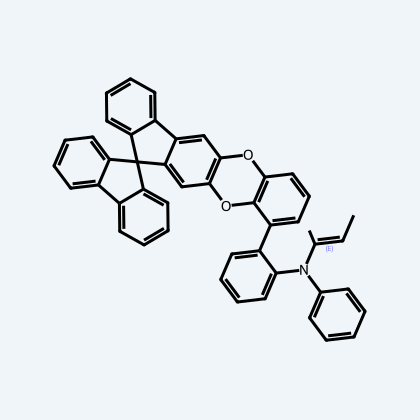 C/C=C(\C)N(c1ccccc1)c1ccccc1-c1cccc2c1Oc1cc3c(cc1O2)-c1ccccc1C31c2ccccc2-c2ccccc21